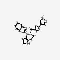 Cn1cc(-c2ncc(C(=O)N3CCc4[nH]cnc4[C@H]3c3nc4ccccc4s3)o2)cn1